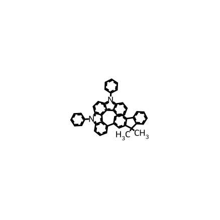 CC1(C)c2ccccc2-c2ccc(-c3cccc4c3c3c5c6ccccc6n(-c6ccccc6)c5ccc3n4-c3ccccc3)cc21